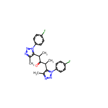 Cc1nnn(-c2ccc(F)cc2)c1C(C)C(=O)C(C)c1c(C)nnn1-c1ccc(F)cc1